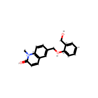 Cn1c(=O)ccc2cc(COc3ccccc3C[O])ccc21